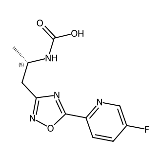 C[C@@H](Cc1noc(-c2ccc(F)cn2)n1)NC(=O)O